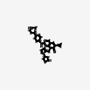 O=c1c(C2CC2)cc2cnc(Nc3ccc(C4CCNCC4)cc3)nc2n1Cc1ccnn1C1CCNC1